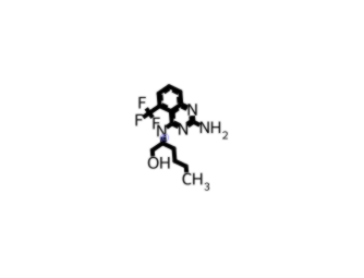 CCCC/C(CO)=N\c1nc(N)nc2cccc(C(F)(F)F)c12